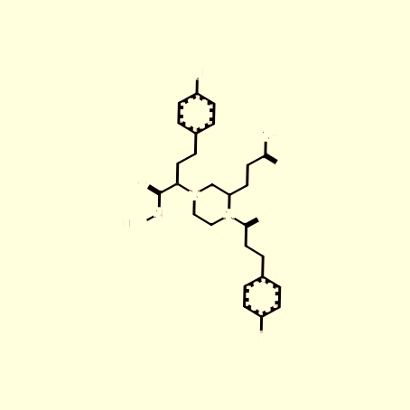 CNC(=O)C(CCc1ccc(Cl)cc1)N1CCN(C(=O)[CH]Cc2ccc(F)cc2)C(CCC(N)=O)C1